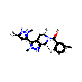 CC[C@H]1Cc2c(nn(C)c2-c2cc(C(F)(F)F)nn2C)[C@@H](CC)N1C(=O)c1cccc(C)c1